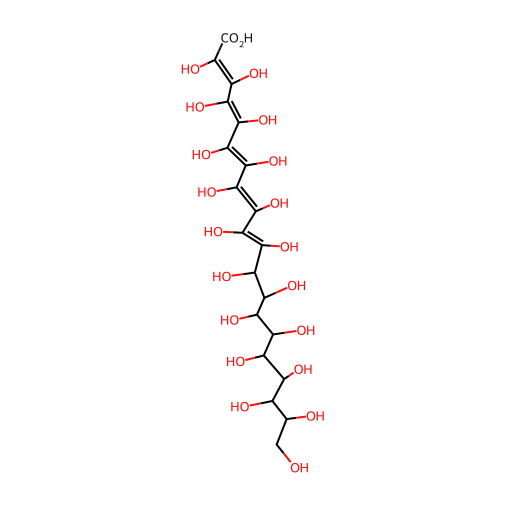 O=C(O)/C(O)=C(O)/C(O)=C(O)/C(O)=C(O)/C(O)=C(O)/C(O)=C(\O)C(O)C(O)C(O)C(O)C(O)C(O)C(O)C(O)CO